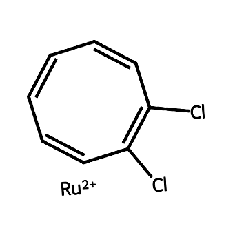 ClC1=C(Cl)C=CC=CC=C1.[Ru+2]